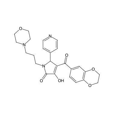 O=C(C1=C(O)C(=O)N(CCCN2CCOCC2)C1c1ccncc1)c1ccc2c(c1)OCCO2